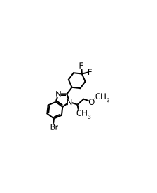 COCC(C)n1c(C2CCC(F)(F)CC2)nc2ccc(Br)cc21